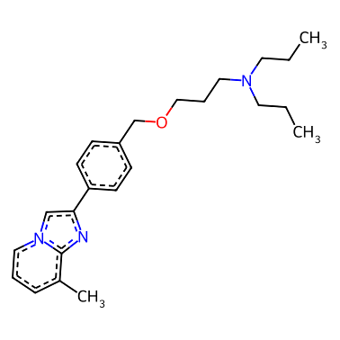 CCCN(CCC)CCCOCc1ccc(-c2cn3cccc(C)c3n2)cc1